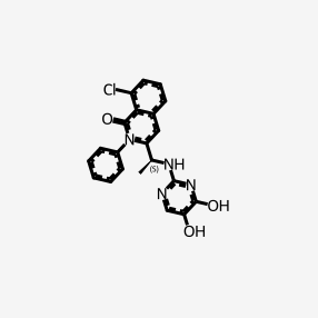 C[C@H](Nc1ncc(O)c(O)n1)c1cc2cccc(Cl)c2c(=O)n1-c1ccccc1